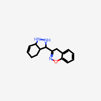 C1=CC2NNC(C3=NOc4ccccc4C3)C2CC1